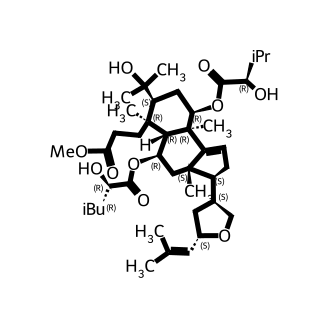 CC[C@@H](C)[C@@H](O)C(=O)O[C@@H]1C[C@]2(C)C(=CC[C@H]2[C@H]2CO[C@H](C=C(C)C)C2)[C@@]2(C)[C@H]1[C@@](C)(CCC(=O)OC)[C@@H](C(C)(C)O)C[C@H]2OC(=O)[C@H](O)C(C)C